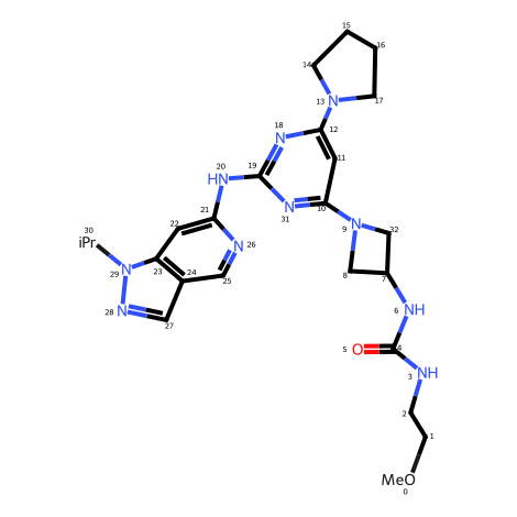 COCCNC(=O)NC1CN(c2cc(N3CCCC3)nc(Nc3cc4c(cn3)cnn4C(C)C)n2)C1